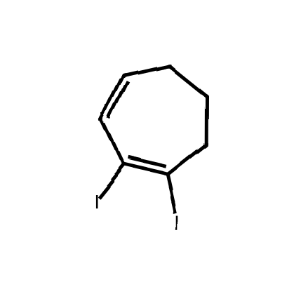 IC1=C(I)CCCC=C1